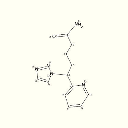 NC(=O)CCCC(c1ccccn1)n1ccnn1